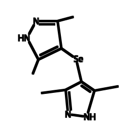 Cc1n[nH]c(C)c1[Se]c1c(C)n[nH]c1C